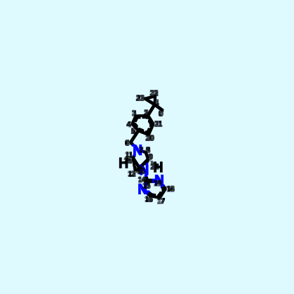 CC1(c2ccc(CN3C[C@@H]4C[C@H]3CN4c3ncccn3)cc2)CC1